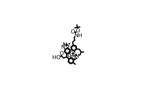 Cc1ccc(C(CC(=O)O)c2ccc3c(c2)nnn3C)cc1CN1CC(C)Cc2cc(CCCNC(=O)OC(C)(C)C)ccc2S1(O)O